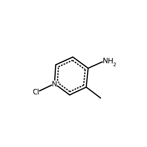 Cc1c[n+](Cl)ccc1N